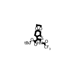 CC(C)(C)OC(=O)C1=C(NC(=O)C(F)(F)F)SC2CC3(CCC12)OCCO3